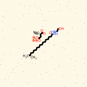 CC(C)CCCCCCCCCCCCCCC(=O)NNCCO.O=C([O-])CCC(=O)OS(=O)(=O)[O-].[Na+].[Na+]